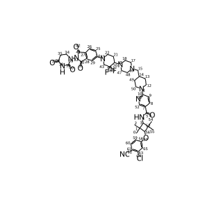 CC1(C)C(NC(=O)c2ccc(N3CCC(CN4CCN(C5CCN(c6ccc7c(c6)C(=O)N(N6CCC(=O)NC6=O)C7=O)CC5(F)F)CC4)CC3)nc2)C(C)(C)C1Oc1ccc(C#N)c(Cl)c1